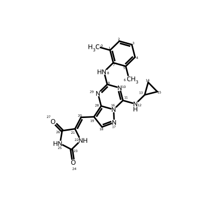 Cc1cccc(C)c1Nc1nc(NC2CC2)n2ncc(/C=C3\NC(=O)NC3=O)c2n1